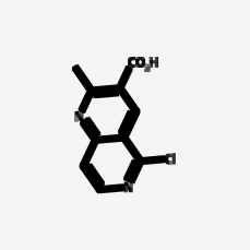 Cc1nc2ccnc(Cl)c2cc1C(=O)O